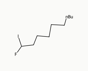 CCCCCCCCCC(F)I